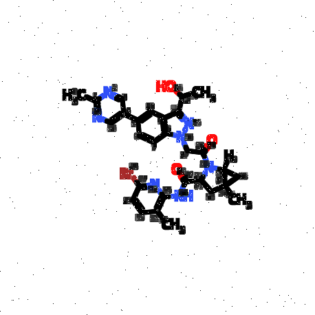 Cc1ncc(-c2ccc3c(c2)c(C(C)O)nn3CC(=O)N2[C@H](C(=O)Nc3nc(Br)ccc3C)C[C@@]3(C)C[C@@H]23)cn1